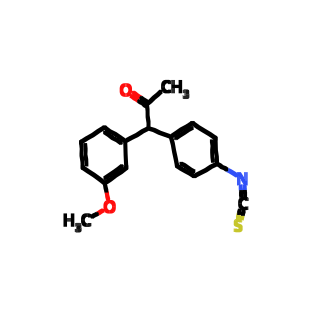 COc1cccc(C(C(C)=O)c2ccc(N=C=S)cc2)c1